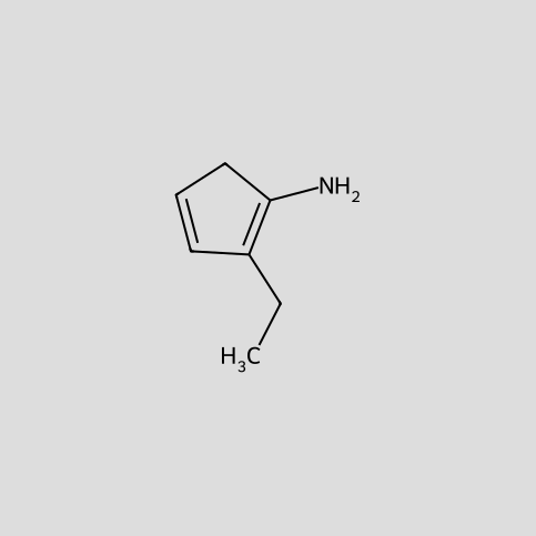 CCC1=C(N)CC=C1